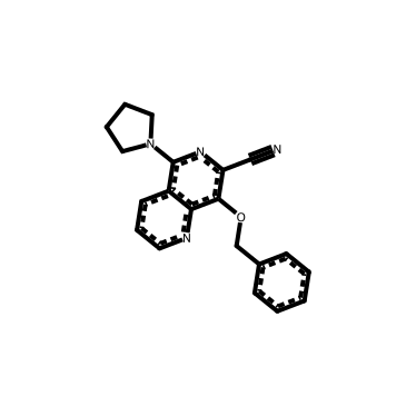 N#Cc1nc(N2CCCC2)c2cccnc2c1OCc1ccccc1